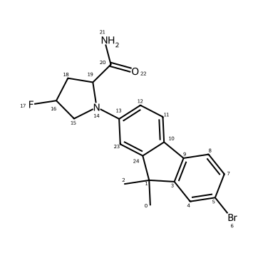 CC1(C)c2cc(Br)ccc2-c2ccc(N3CC(F)CC3C(N)=O)cc21